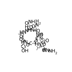 CC[C@H](C)C1NN[C@@H](CCC(N)=O)C(=O)N[C@@H](CC(N)=O)C(=O)N[C@H](C(=O)N(CCOC)CC(=O)N[C@@H](CC(C)C)C(=O)C(=O)CNN)CSSCCC(=O)N[C@@H](Cc2ccc(O)cc2)C(=O)C1=O